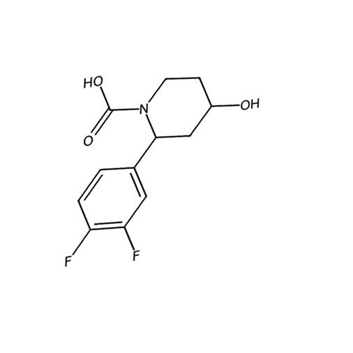 O=C(O)N1CCC(O)CC1c1ccc(F)c(F)c1